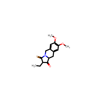 CCC1C(=O)C2Cc3cc(OC)c(OC)cc3CN2C1=S